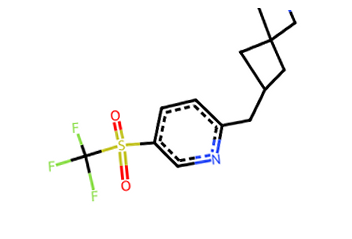 O=S(=O)(c1ccc(CC2CC3(CNC3)C2)nc1)C(F)(F)F